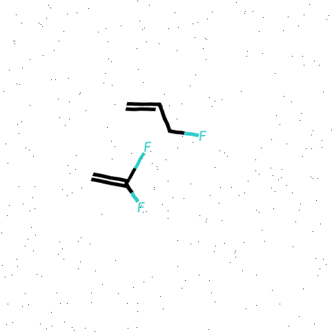 C=C(F)F.C=CCF